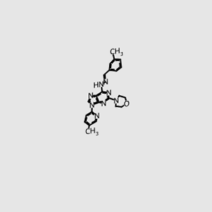 Cc1ccc(-n2cnc3c(NN=Cc4cccc(C)c4)nc(N4CCOCC4)nc32)nc1